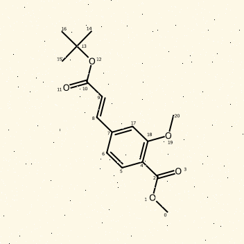 COC(=O)c1ccc(C=CC(=O)OC(C)(C)C)cc1OC